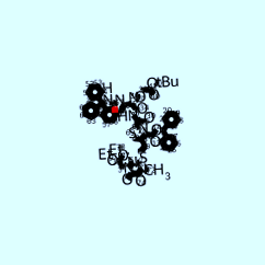 CCOC(Cn1nc(S/C=C/C2=C(C(=O)OC(c3ccccc3)c3ccccc3)N3C(=O)C(NC(=O)/C(=N\OCC(=O)OC(C)(C)C)c4csc(NC(c5ccccc5)(c5ccccc5)c5ccccc5)n4)C3SC2)n(C)c(=O)c1=O)OCC